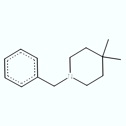 CC1(C)CCN(Cc2ccccc2)CC1